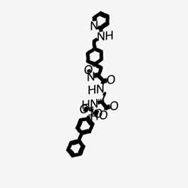 O=C(NC[C@H](NS(=O)(=O)c1ccc(-c2ccccc2)cc1)C(=O)O)C1=NOC2(CCC(CNc3ccccn3)CC2)C1